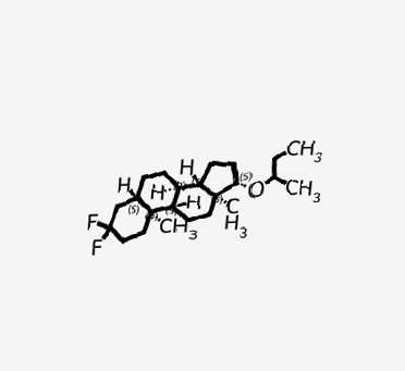 CCC(C)O[C@H]1CC[C@H]2[C@@H]3CC[C@H]4CC(F)(F)CC[C@]4(C)[C@H]3CC[C@]12C